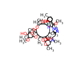 CC[C@H]1OC(=O)[C@H](C)[C@@H](O[C@H]2C[C@@](C)(OC)[C@@H](O)[C@H](C)O2)[C@H](C)[C@@H](O[C@@H]2O[C@H](C)C[C@H](N(C)CCc3cn([C@H](CF)[C@H](OC)c4ccc(C)cc4)nn3)[C@H]2O)[C@](C)(O)C[C@@H](C)CN(C)[C@H](C)[C@@H](O)[C@]1(C)O